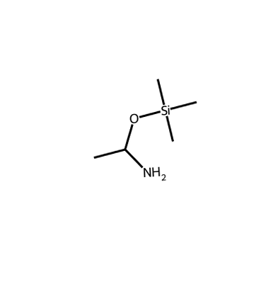 CC(N)O[Si](C)(C)C